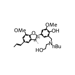 CC=Cc1cc(OC)c2c(c1)[C@@H](C)[C@H](c1cc(CN(CCO)CCCC)c(O)c(OC)c1)O2